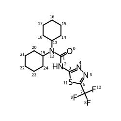 O=C(Nc1nnc(C(F)(F)F)s1)N(C1CCCCC1)C1CCCCC1